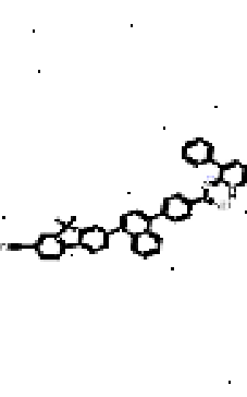 CC1(C)c2cc(C#N)ccc2-c2ccc(-c3ccc(-c4ccc(C(=N)/N=c5\[nH]cccc5-c5ccccc5)cc4)c4ccccc34)cc21